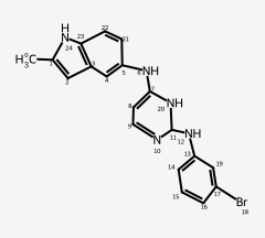 Cc1cc2cc(NC3=CC=NC(Nc4cccc(Br)c4)N3)ccc2[nH]1